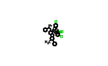 Cl.Cl.[CH2]=[Zr]([CH2]c1ccc(Cl)cc1)([CH2]c1ccc(Cl)cc1)([C]1=CC=CC1)[c]1c(CC(c2ccccc2)C(C)C)ccc2c1Cc1cc(-c3ccccc3)c(C)cc1-2